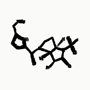 CNCc1ccc(C(=O)N2CC[C@@H]3[C@@H]2[C@H](C(C)C)C(=O)N3S(C)(=O)=O)[nH]1